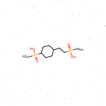 CCCCCCCCCP(=O)(O)CCC1CCC(P(=O)(O)CCCCCCCC)CC1